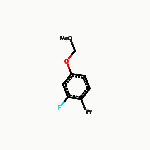 COCOc1ccc(C(C)C)c(F)c1